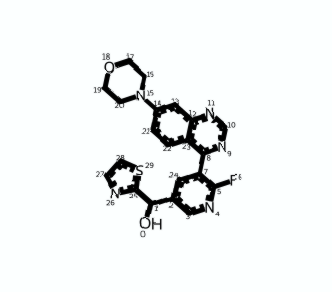 OC(c1cnc(F)c(-c2ncnc3cc(N4CCOCC4)ccc23)c1)c1nccs1